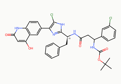 CC(C)(C)OC(=O)NC(CC(=O)N[C@@H](Cc1ccccc1)c1nc(-c2ccc3[nH]c(=O)cc(O)c3c2)c(Cl)[nH]1)c1cccc(Cl)c1